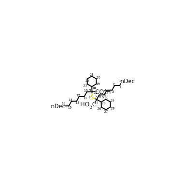 CCCCCCCCCCCCCCCCC(SC(CCCCCCCCCCCCCCCC)(C(=O)O)C1CCCCC1)(C(=O)O)C1CCCCC1